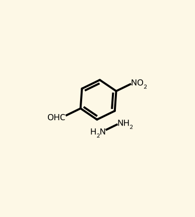 NN.O=Cc1ccc([N+](=O)[O-])cc1